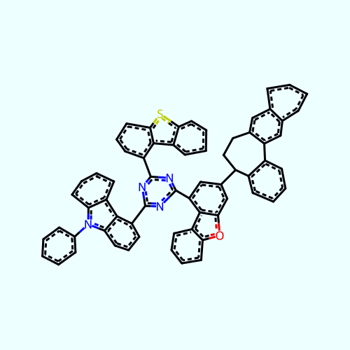 c1ccc(-n2c3ccccc3c3c(-c4nc(-c5cc(C6CCc7cc8ccccc8cc7-c7ccccc76)cc6oc7ccccc7c56)nc(-c5cccc6sc7ccccc7c56)n4)cccc32)cc1